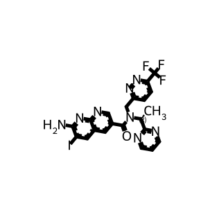 C[C@H](c1ncccn1)N(Cc1ccc(C(F)(F)F)nn1)C(=O)c1cnc2nc(N)c(I)cc2c1